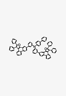 c1ccc(-c2ccc(N(c3cccc(-c4ccc5c6ccccc6c6c(-c7ccccc7)c(-c7ccccc7)oc6c5c4)c3)c3cccc(-c4ccc5c6ccccc6c6c(-c7ccccc7)c(-c7ccccc7)oc6c5c4)c3)cc2)cc1